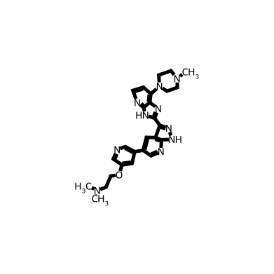 CN(C)CCOc1cncc(-c2cnc3[nH]nc(-c4nc5c(N6CCN(C)CC6)ccnc5[nH]4)c3c2)c1